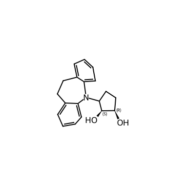 O[C@@H]1CCC(N2c3ccccc3CCc3ccccc32)[C@@H]1O